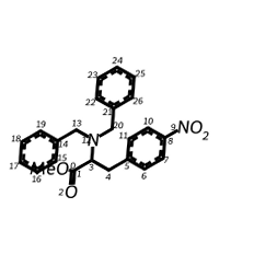 COC(=O)C(Cc1ccc([N+](=O)[O-])cc1)N(Cc1ccccc1)Cc1ccccc1